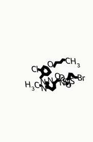 CCCCCOc1ccc(Cn2c(C)nc3ccc(C(=O)NS(=O)(=O)c4ccc(Br)s4)nc32)c(Cl)c1